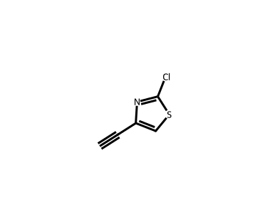 C#Cc1csc(Cl)n1